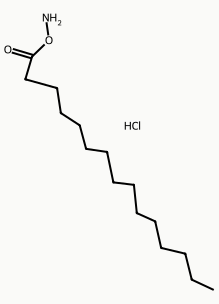 CCCCCCCCCCCCCCC(=O)ON.Cl